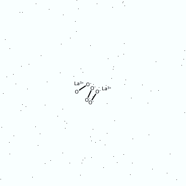 [La+3].[La+3].[O-][O-].[O-][O-].[O-][O-]